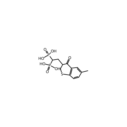 Cc1ccc2c(c1)C(=O)C(CC(P(=O)(O)O)P(=O)(O)O)CS2